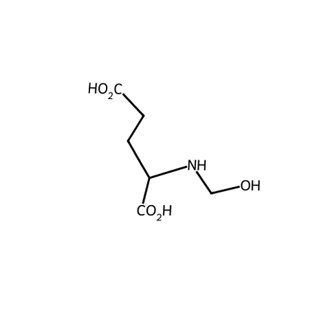 O=C(O)CCC(NCO)C(=O)O